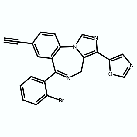 C#Cc1ccc2c(c1)C(c1ccccc1Br)=NCc1c(-c3cnco3)ncn1-2